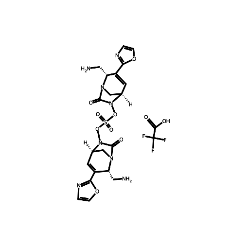 NC[C@@H]1C(c2ncco2)=C[C@@H]2CN1C(=O)N2OS(=O)(=O)ON1C(=O)N2C[C@H]1C=C(c1ncco1)[C@H]2CN.O=C(O)C(F)(F)F